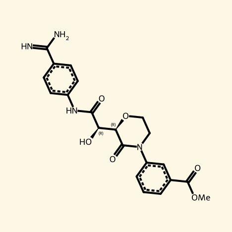 COC(=O)c1cccc(N2CCO[C@H]([C@@H](O)C(=O)Nc3ccc(C(=N)N)cc3)C2=O)c1